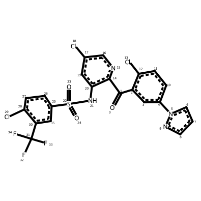 O=C(c1cc(-n2cccn2)ccc1Cl)c1ncc(Cl)cc1NS(=O)(=O)c1ccc(Cl)c(C(F)(F)F)c1